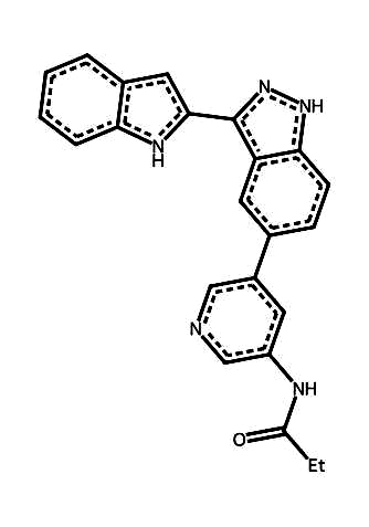 CCC(=O)Nc1cncc(-c2ccc3[nH]nc(-c4cc5ccccc5[nH]4)c3c2)c1